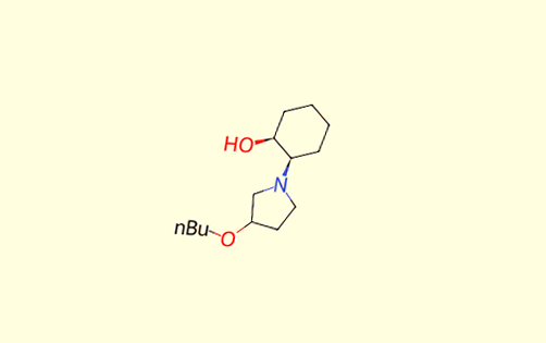 CCCCOC1CCN([C@@H]2CCCC[C@@H]2O)C1